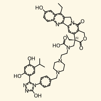 CCc1c2c(nc3ccc(O)cc13)-c1cc3c(c(=O)n1C2)COC(=O)[C@]3(CC)CN(CCN1CCN(Cc2ccc(-n3c(O)nnc3-c3cc(C(C)C)c(O)cc3O)cc2)CC1)C(=O)O